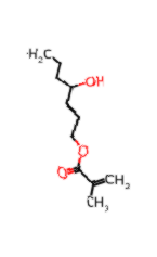 [CH2]CCC(O)CCCOC(=O)C(=C)C